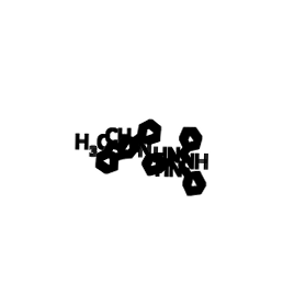 CC1(C)c2ccccc2-c2cc3c(cc21)c1ccccc1n3-c1cccc(C2NC(c3ccccc3)NC(c3ccccc3)N2)c1